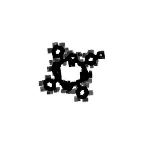 Clc1ccc(-c2c3nc(c(-c4ccccc4)c4ccc([nH]4)c(-c4ccccc4)c4nc(c(-c5ccccc5)c5ccc2[nH]5)C=C4)C=C3)cc1